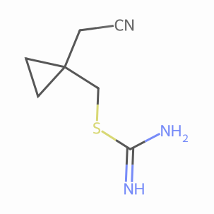 N#CCC1(CSC(=N)N)CC1